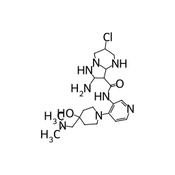 CN(C)CC1(O)CCN(c2ccncc2NC(=O)C2C(N)NN3CC(Cl)CNC23)CC1